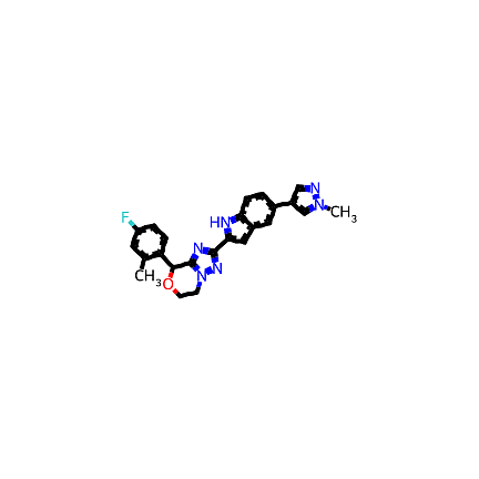 Cc1cc(F)ccc1C1OCCn2nc(-c3cc4cc(-c5cnn(C)c5)ccc4[nH]3)nc21